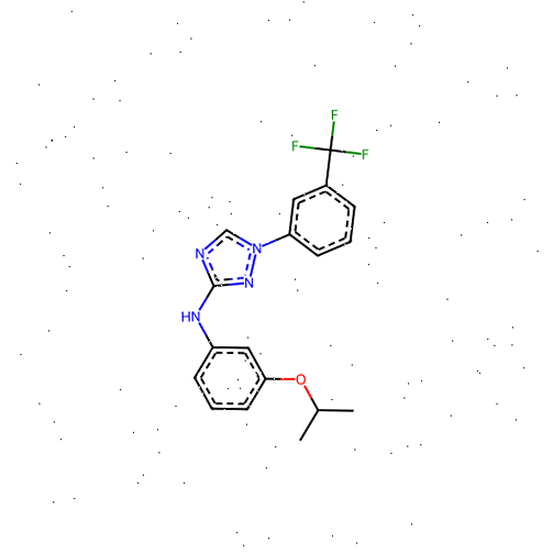 CC(C)Oc1cccc(Nc2ncn(-c3cccc(C(F)(F)F)c3)n2)c1